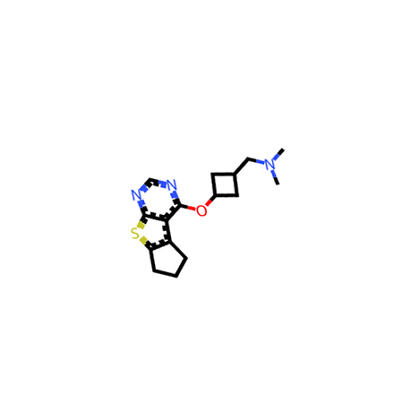 CN(C)CC1CC(Oc2ncnc3sc4c(c23)CCC4)C1